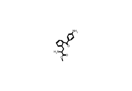 COC(=O)C(N)Cc1ccccc1C(=O)c1ccc(N)cc1